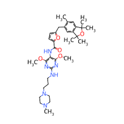 COc1nc(NCCCN2CCN(C)CC2)nc(OC)c1NC(=O)c1ccc(Cc2cc3c(cc2C)C(C)(C)OC3(C)C)o1